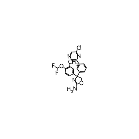 Cc1cc(C2(c3cccc(-c4cncc(Cl)n4)c3)COC(N)=N2)ccc1OC(F)F